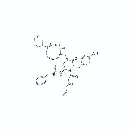 C=CCNCC(=O)N1[C@@H](NC(=O)NCc2ccccc2)CN(C/C2=C/C=C\C/C(C3=CC=CCC3)=N\NC2=C)C(=O)[C@@H]1Cc1ccc(O)cc1